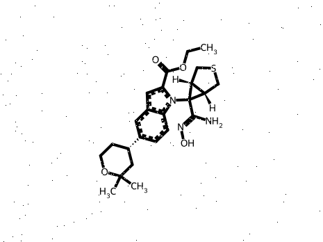 CCOC(=O)c1cc2cc([C@H]3CCOC(C)(C)C3)ccc2n1C1(C(N)=NO)[C@@H]2CSC[C@@H]21